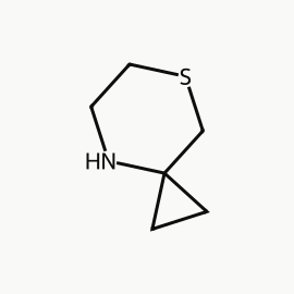 C1CSCC2(CC2)N1